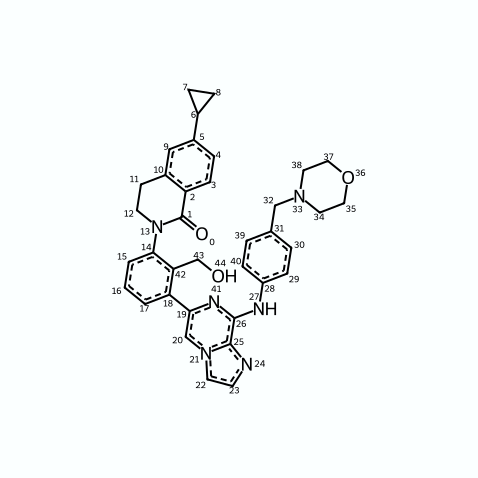 O=C1c2ccc(C3CC3)cc2CCN1c1cccc(-c2cn3ccnc3c(Nc3ccc(CN4CCOCC4)cc3)n2)c1CO